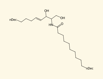 CCCCCCCCCCCCC/C=C/C(O)C(CO)NC(=O)CCCCCCCCCCCCCCCCCCC